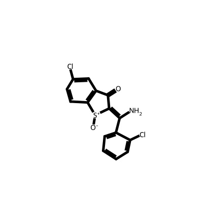 N/C(=C1\C(=O)c2cc(Cl)ccc2[S+]1[O-])c1ccccc1Cl